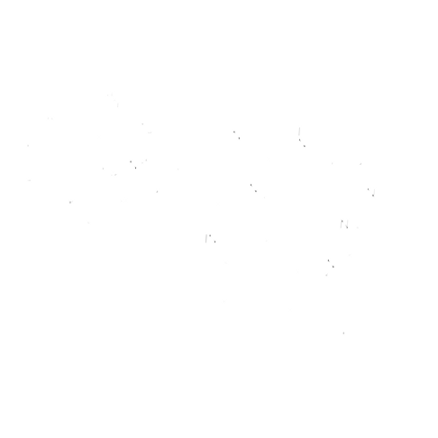 C=CC(=O)Nc1cccc(Nc2nc(Nc3cnn(C)c3)ncc2CN(C(C)=O)C2(CC)C=CC=CC2)c1